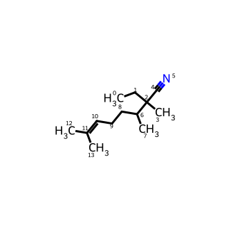 CCC(C)(C#N)C(C)CCC=C(C)C